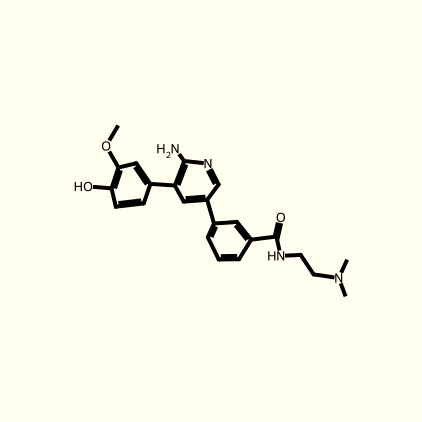 COc1cc(-c2cc(-c3cccc(C(=O)NCCN(C)C)c3)cnc2N)ccc1O